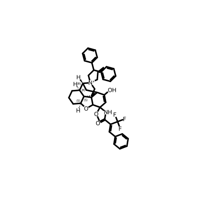 C=CC[N+]1(CC(c2ccccc2)c2ccccc2)CC[C@@]23C4=C5C[C@@H]1[C@@H]2CCC[C@@H]3OC4C(NC(=O)C(=Cc1ccccc1)C(F)(F)F)(OC)C=C5O